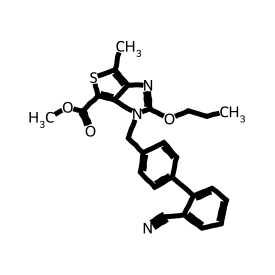 CCCOc1nc2c(C)sc(C(=O)OC)c2n1Cc1ccc(-c2ccccc2C#N)cc1